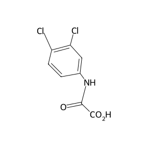 O=C(O)C(=O)Nc1ccc(Cl)c(Cl)c1